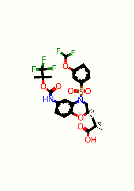 C[C@@H](C[C@H]1CN(S(=O)(=O)c2cccc(OC(F)F)c2)c2cc(NC(=O)OC(C)(C)C(F)(F)F)ccc2O1)C(=O)O